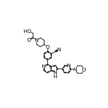 N#Cc1cc(-c2nccc3[nH]c(-c4ccc(N5CCOCC5)nc4)cc23)ccc1OC1CCN(C(=O)CO)CC1